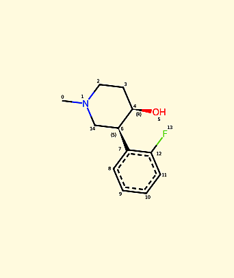 CN1CC[C@@H](O)[C@@H](c2ccccc2F)C1